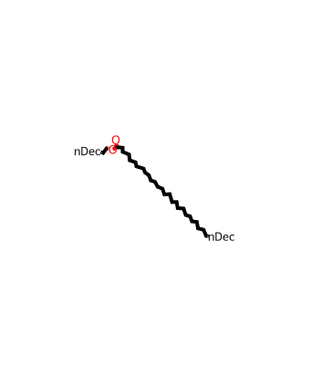 CCCCCCCCCCCCCCCCCCCCCCCCCCCCCCCCCCCCC(=O)OCCCCCCCCCCCC